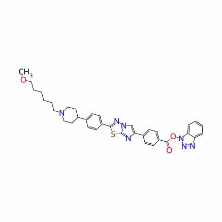 COCCCCCCN1CCC(c2ccc(-c3nn4cc(-c5ccc(C(=O)On6nnc7ccccc76)cc5)nc4s3)cc2)CC1